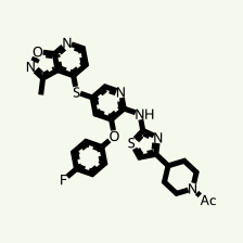 CC(=O)N1CCC(c2csc(Nc3ncc(Sc4ccnc5onc(C)c45)cc3Oc3ccc(F)cc3)n2)CC1